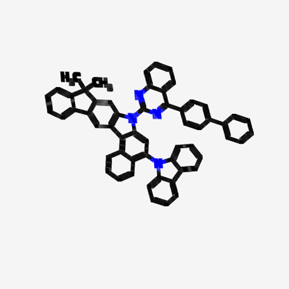 CC1(C)c2ccccc2-c2cc3c4c5ccccc5c(-n5c6ccccc6c6ccccc65)cc4n(-c4nc(-c5ccc(-c6ccccc6)cc5)c5ccccc5n4)c3cc21